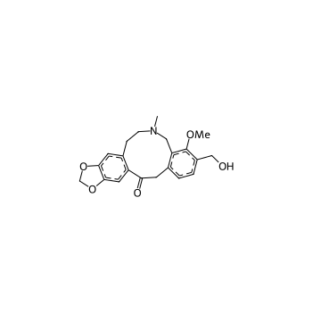 COc1c(CO)ccc2c1CN(C)CCc1cc3c(cc1C(=O)C2)OCO3